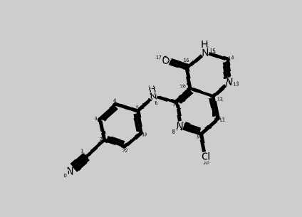 N#Cc1ccc(Nc2nc(Cl)cc3nc[nH]c(=O)c23)cc1